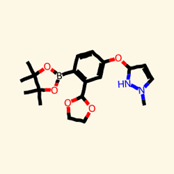 CN1C=CC(Oc2ccc(B3OC(C)(C)C(C)(C)O3)c(C3OCCO3)c2)N1